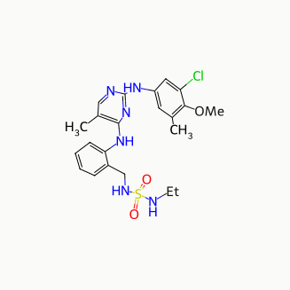 CCNS(=O)(=O)NCc1ccccc1Nc1nc(Nc2cc(C)c(OC)c(Cl)c2)ncc1C